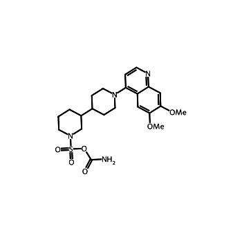 COc1cc2nccc(N3CCC(C4CCCN(S(=O)(=O)OC(N)=O)C4)CC3)c2cc1OC